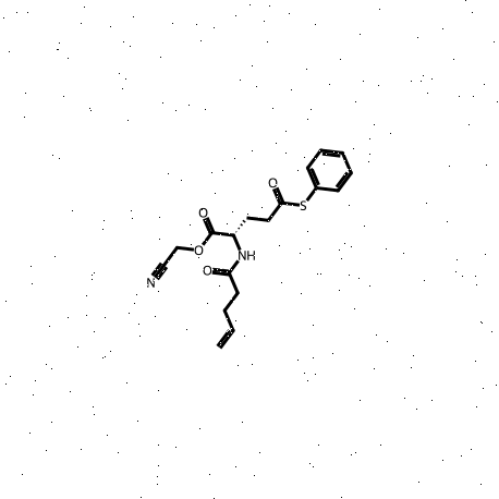 C=CCCC(=O)N[C@@H](CCC(=O)Sc1ccccc1)C(=O)OCC#N